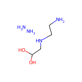 N.N.NCCNCC(O)O